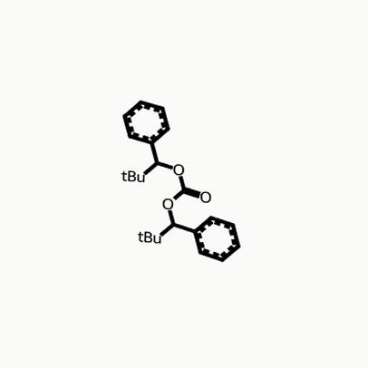 CC(C)(C)C(OC(=O)OC(c1ccccc1)C(C)(C)C)c1ccccc1